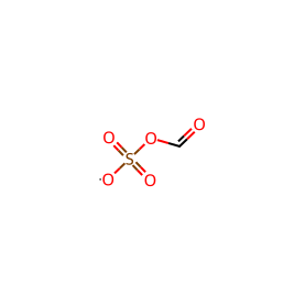 [O]S(=O)(=O)OC=O